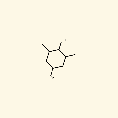 CC(C)C1CC(C)C(O)C(C)C1